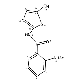 CC(=O)Nc1ccccc1C(=O)Nc1ncc(C#N)s1